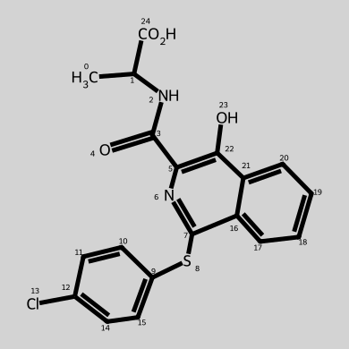 CC(NC(=O)c1nc(Sc2ccc(Cl)cc2)c2ccccc2c1O)C(=O)O